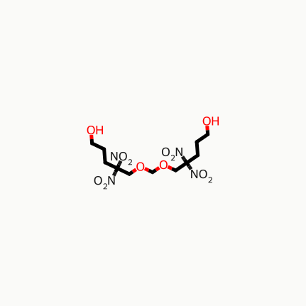 O=[N+]([O-])C(CCCO)(COCOCC(CCCO)([N+](=O)[O-])[N+](=O)[O-])[N+](=O)[O-]